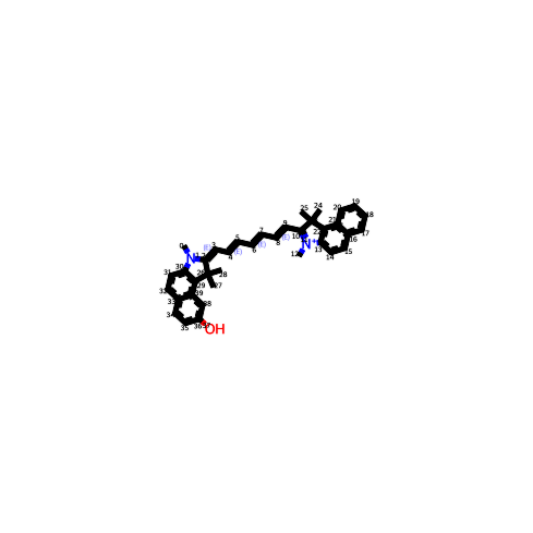 CN1/C(=C/C=C/C=C/C=C/C2=[N+](C)c3ccc4ccccc4c3C2(C)C)C(C)(C)c2c1ccc1ccc(O)cc21